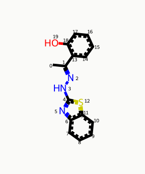 C/C(=N\Nc1nc2ccccc2s1)c1ccccc1O